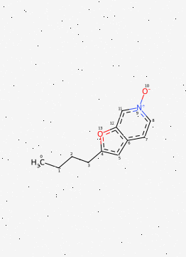 CCCCc1cc2cc[n+]([O-])cc2o1